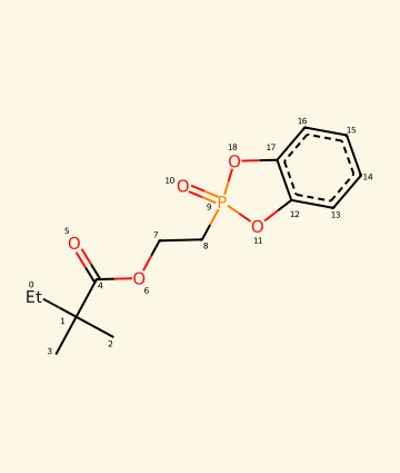 CCC(C)(C)C(=O)OCCP1(=O)Oc2ccccc2O1